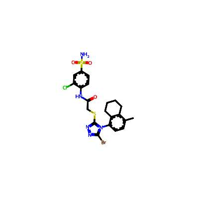 Cc1ccc(-n2c(Br)nnc2SCC(=O)Nc2ccc(S(N)(=O)=O)cc2Cl)c2c1CCCC2